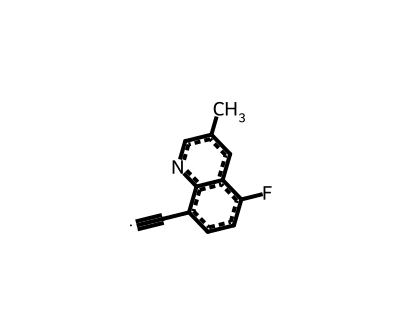 [C]#Cc1ccc(F)c2cc(C)cnc12